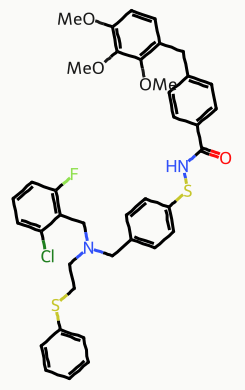 COc1ccc(Cc2ccc(C(=O)NSc3ccc(CN(CCSc4ccccc4)Cc4c(F)cccc4Cl)cc3)cc2)c(OC)c1OC